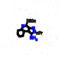 CCCn1nc2c(NC)nc3ccccc3c2c1N